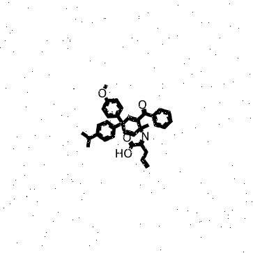 C=CCC(=NC1(C)C=CC(c2ccc(OC)cc2)(c2ccc(C(C)C)cc2)C=C1C(=O)c1ccccc1)C(=O)O